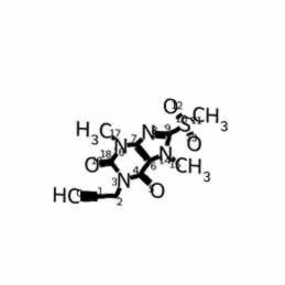 C#CCn1c(=O)c2c(nc(S(C)(=O)=O)n2C)n(C)c1=O